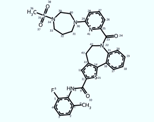 Cc1cccc(F)c1NC(=O)c1cc2c(s1)-c1ccccc1N(C(=O)c1cccc(N3CCCN(S(C)(=O)=O)CC3)n1)CC2